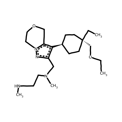 CCOC[C@]1(CC)CC[C@@H](c2c(CN(C)CCNC)nn3c2COCC3)CC1